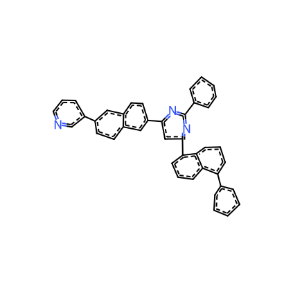 c1ccc(-c2nc(-c3ccc4cc(-c5cccnc5)ccc4c3)cc(-c3cccc4c(-c5ccccc5)cccc34)n2)cc1